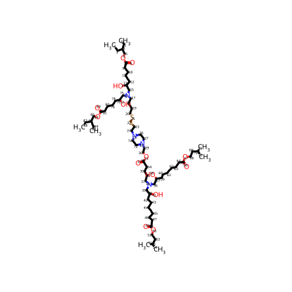 CCC(CC)COC(=O)CCCCC(O)CN(CCCCSSCCN1CCN(CCOC(=O)CCCCN(CC(O)CCCCCCC(=O)OCCC(C)C)CC(O)CCCCCCC(=O)OCCC(C)C)CC1)CC(O)CCCCC(=O)OCC(CC)CC